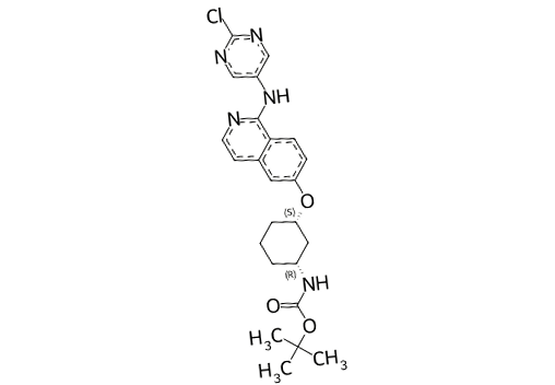 CC(C)(C)OC(=O)N[C@@H]1CCC[C@H](Oc2ccc3c(Nc4cnc(Cl)nc4)nccc3c2)C1